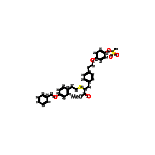 COC(=O)C(Cc1ccc(CCOc2ccc(OS(C)(=O)=O)cc2)cc1)SCCc1ccc(OCc2ccccc2)cc1